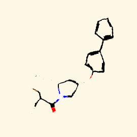 CC(CS)C(=O)N1C[C@@H](Oc2ccc(-c3ccccc3)cc2)C[C@H]1C(=O)O